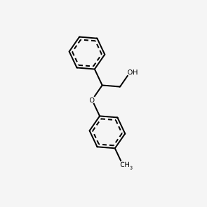 Cc1ccc(OC(CO)c2ccccc2)cc1